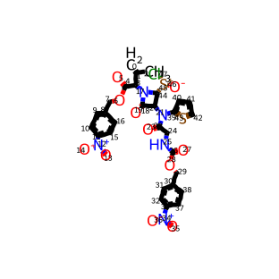 C=C(C)C(C(=O)OCc1ccc([N+](=O)[O-])cc1)N1C(=O)C(N(C(=O)CNC(=O)OCc2ccc([N+](=O)[O-])cc2)c2cccs2)C1[S+]([O-])Cl